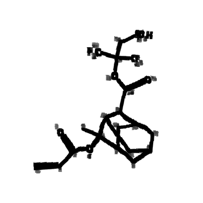 C=CC(=O)OC1(C)C2CC3CC(C2)C(C(=O)OC(CS(=O)(=O)O)(C(F)(F)F)C(F)(F)F)C1C3